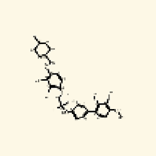 CCOc1ccc(-c2ccc(OC(F)(F)COc3ccc(OCC4CCC(C)CC4)c(F)c3F)cc2)c(F)c1F